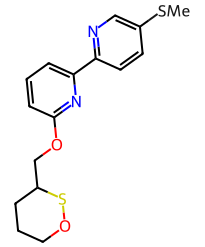 CSc1ccc(-c2cccc(OCC3CCCOS3)n2)nc1